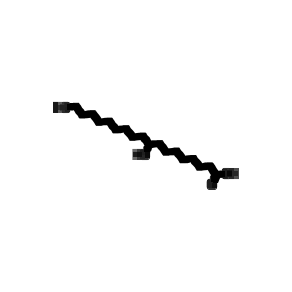 O=C(O)CCCCCCCC(O)CCCCCCCCCO